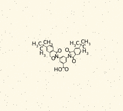 CC(C)(C)c1ccc2c(c1)CON(c1cc(C(=O)O)cc(N3C(=O)c4ccc(C(C)(C)C)cc4C3=O)c1)C2=O